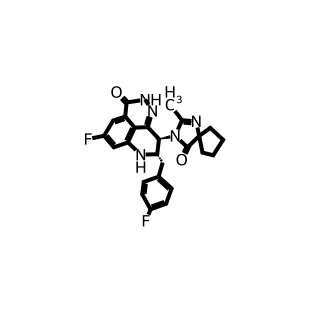 CC1=NC2(CCCC2)C(=O)N1[C@@H]1c2n[nH]c(=O)c3cc(F)cc(c23)N[C@H]1Cc1ccc(F)cc1